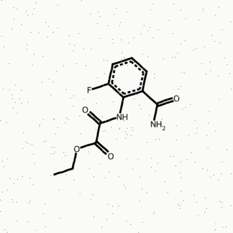 CCOC(=O)C(=O)Nc1c(F)cccc1C(N)=O